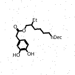 CCCCCCCCCCCCCCC(CC)COC(=O)Cc1ccc(O)c(O)c1